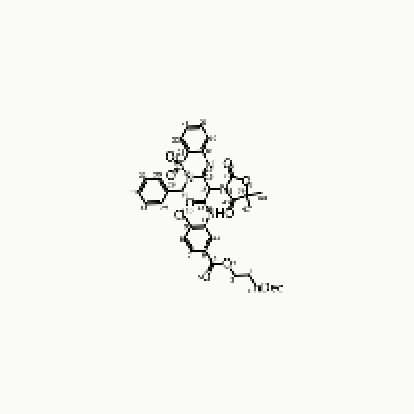 CCCCCCCCCCCCOC(=O)c1ccc(Cl)c(NC(=O)C(C2=Nc3ccccc3S(=O)(=O)N2Cc2ccccc2)N2C(=O)OC(C)(C)C2=O)c1